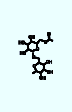 CC(=O)OCC1O[C@H](OCC2OC(C)[C@@H](O)C(O)[C@@H]2O)[C@@H](O)C(O)[C@H]1O